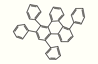 c1ccc(-c2cc(-c3ccccc3)c3c4cccc(-c5ccccc5)c4c4ccccc4c3c2-c2ccccc2)cc1